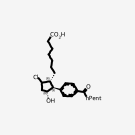 CCCCCC(=O)c1ccc([C@H]2[C@H](O)CC(Cl)[C@@H]2CCCCCCC(=O)O)cc1